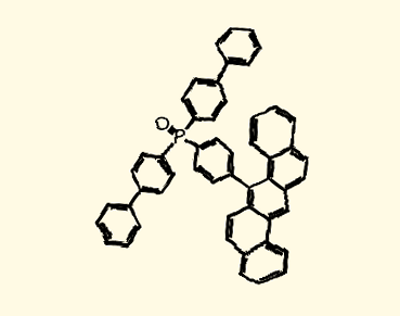 O=P(c1ccc(-c2ccccc2)cc1)(c1ccc(-c2ccccc2)cc1)c1ccc(-c2c3ccc4ccccc4c3cc3ccc4ccccc4c23)cc1